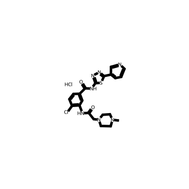 CN1CCN(CC(=O)Nc2cc(C(=O)Nc3nnc(-c4cccnc4)s3)ccc2Cl)CC1.Cl